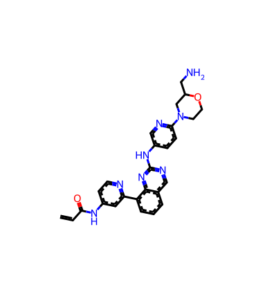 C=CC(=O)Nc1ccnc(-c2cccc3cnc(Nc4ccc(N5CCOC(CN)C5)nc4)nc23)c1